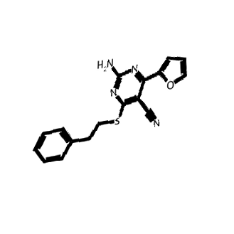 N#Cc1c(SCCc2ccccc2)nc(N)nc1-c1ccco1